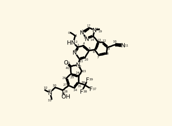 CCNc1cc(-c2ccc(C#N)cc2-c2nncn2C)cc(N2Cc3c(cc([C@@H](O)CN(C)C)cc3C(F)(F)F)C2=O)n1